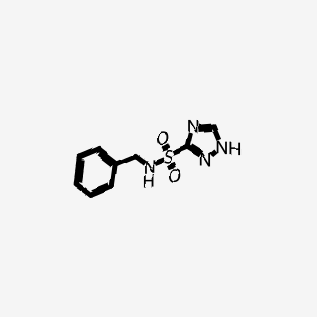 O=S(=O)(NCc1ccccc1)c1nc[nH]n1